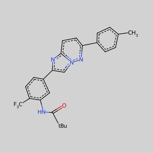 Cc1ccc(-c2ccc3nc(-c4ccc(C(F)(F)F)c(NC(=O)C(C)(C)C)c4)cn3n2)cc1